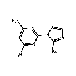 CCCCc1nccn1-c1nc(N)nc(N)n1